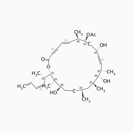 C=C/C=C\[C@H](C)[C@@H]1OC(=O)/C=C\C=C\[C@@H](C)[C@@H](OC(C)=O)C[C@H](O)/C=C\[C@H](C)[C@H](O)[C@@H](C)C[C@@H](C)CC[C@@H](O)[C@@H]1C